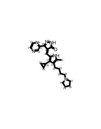 Cc1[nH]c(C=C2C(=O)NN=C2c2cnccn2)c(C2CC2)c1CCCCN1CCCC1